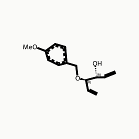 C=C[C@@H](O)[C@@H](C=C)OCc1ccc(OC)cc1